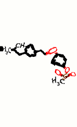 CC(C)Cc1ccc(CCOc2ccc(OS(C)(=O)=O)cc2)cc1